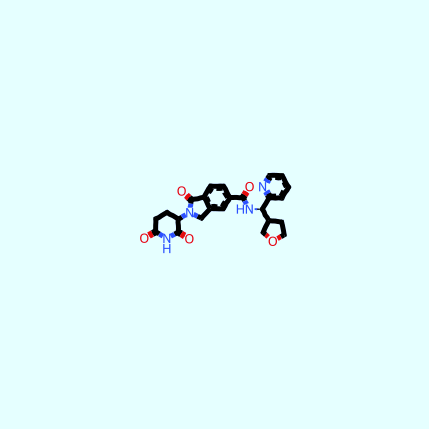 O=C1CCC(N2Cc3cc(C(=O)N[C@H](c4ccccn4)C4CCOC4)ccc3C2=O)C(=O)N1